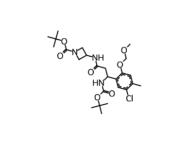 COCOc1cc(C)c(Cl)cc1C(CC(=O)NC1CN(C(=O)OC(C)(C)C)C1)NC(=O)OC(C)(C)C